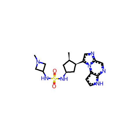 C[C@@H]1C[C@H](NS(=O)(=O)NC2CN(C)C2)C[C@@H]1c1cnc2cnc3[nH]ccc3n12